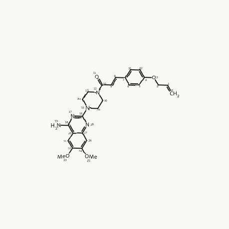 C=CCOc1ccc(C=CC(=O)N2CCN(c3nc(N)c4cc(OC)c(OC)cc4n3)CC2)cc1